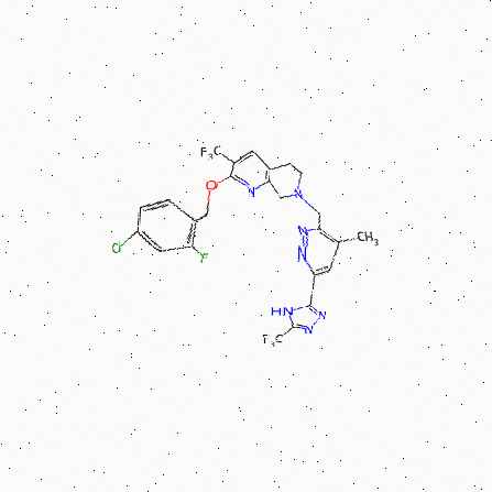 Cc1cc(-c2nnc(C(F)(F)F)[nH]2)nnc1CN1CCc2cc(C(F)(F)F)c(OCc3ccc(Cl)cc3F)nc2C1